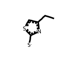 CCc1csc([S])n1